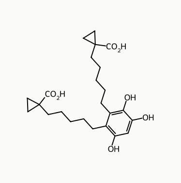 O=C(O)C1(CCCCCc2c(O)cc(O)c(O)c2CCCCCC2(C(=O)O)CC2)CC1